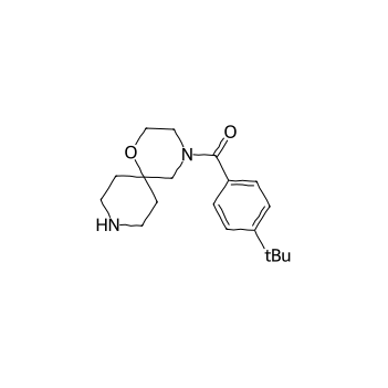 CC(C)(C)c1ccc(C(=O)N2CCOC3(CCNCC3)C2)cc1